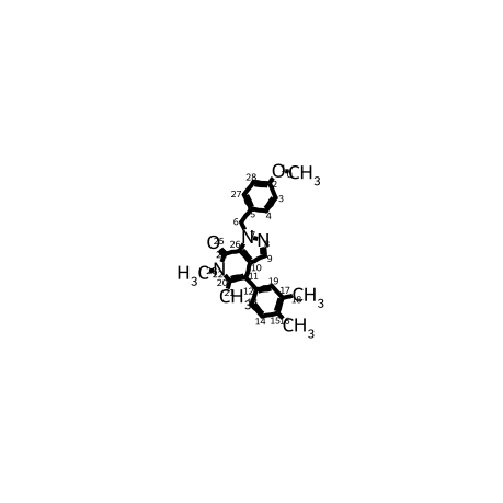 COc1ccc(Cn2ncc3c(-c4ccc(C)c(C)c4)c(C)n(C)c(=O)c32)cc1